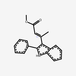 COC(=O)/C=C(\C)c1c(-c2ccccc2)[nH]c2ccccc12